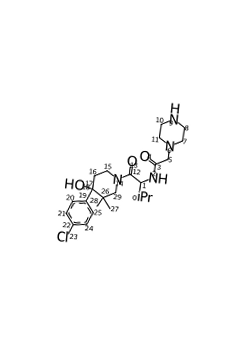 CC(C)C(NC(=O)CN1CCNCC1)C(=O)N1CCC(O)(c2ccc(Cl)cc2)C(C)(C)C1